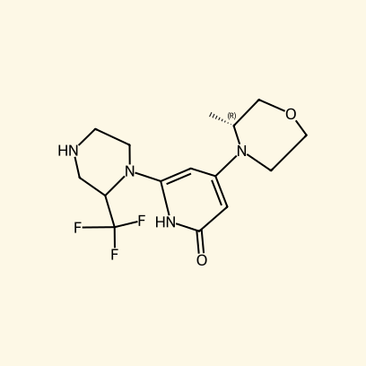 C[C@@H]1COCCN1c1cc(N2CCNCC2C(F)(F)F)[nH]c(=O)c1